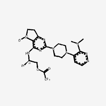 CC(C)[C@H](COC(=O)C(F)(F)F)Nc1nc(N2CCN(c3ccnnc3N(C)C)CC2)nc2c1[S+]([O-])CC2